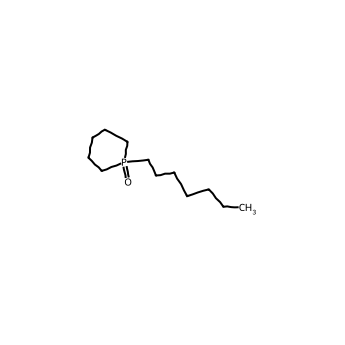 CCCCCCCP1(=O)CCCCC1